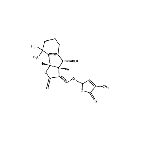 CC1=CC(O/C=C2/C(=O)O[C@@H]3C4=C(CCCC4(C)C)[C@@H](O)[C@H]23)OC1=O